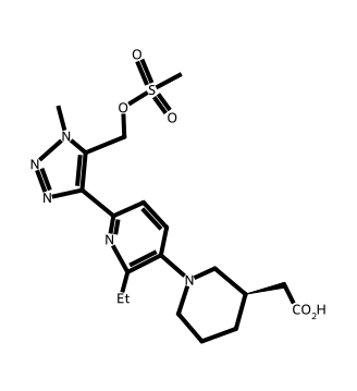 CCc1nc(-c2nnn(C)c2COS(C)(=O)=O)ccc1N1CCC[C@H](CC(=O)O)C1